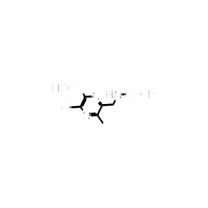 Cc1nc(Cl)c(C(=O)O)nc1CNC(=O)O